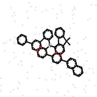 CC1(C)c2ccccc2-c2c(N(c3ccccc3-c3ccc(-c4ccc5ccccc5c4)cc3)c3ccccc3-c3cccc(-c4ccccc4)c3)cccc21